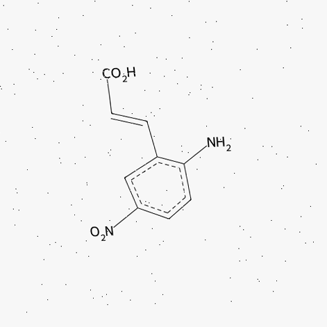 Nc1ccc([N+](=O)[O-])cc1C=CC(=O)O